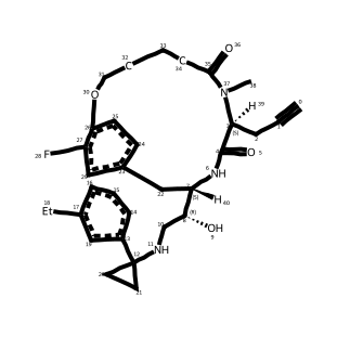 C#CC[C@H]1C(=O)N[C@H]([C@H](O)CNC2(c3cccc(CC)c3)CC2)Cc2ccc(c(F)c2)OCCCCC(=O)N1C